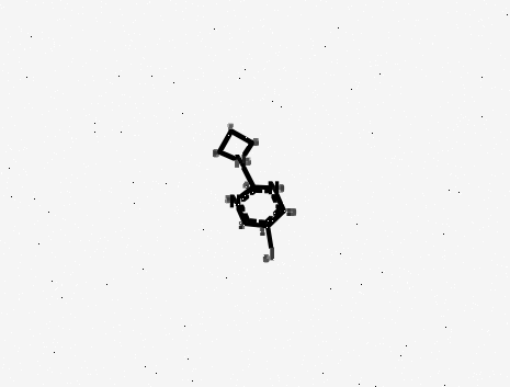 Ic1cnc(N2CCC2)nc1